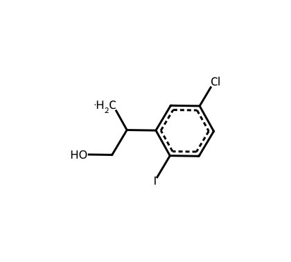 [CH2]C(CO)c1cc(Cl)ccc1I